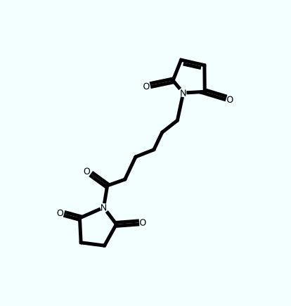 O=C1C=CC(=O)N1CCCCCC(=O)N1C(=O)CCC1=O